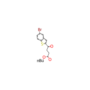 CCCCOC(=O)CCC(=O)c1cc2cc(Br)ccc2s1